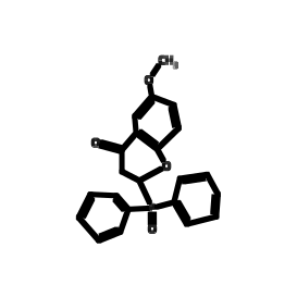 COc1ccc2c(c1)C(=O)CC(P(=O)(c1ccccc1)c1ccccc1)O2